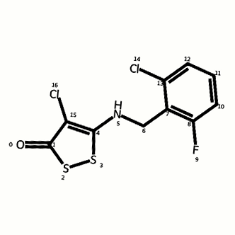 O=c1ssc(NCc2c(F)cccc2Cl)c1Cl